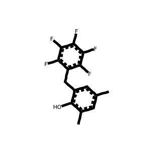 Cc1cc(C)c(O)c(Cc2c(F)c(F)c(F)c(F)c2F)c1